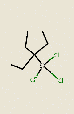 CCC(CC)(CC)[Si](Cl)(Cl)Cl